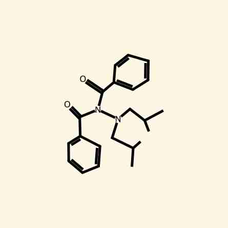 CC(C)CN(CC(C)C)N(C(=O)c1ccccc1)C(=O)c1ccccc1